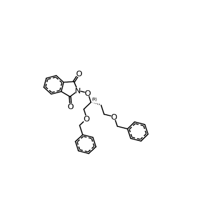 O=C1c2ccccc2C(=O)N1O[C@H](CCOCc1ccccc1)COCc1ccccc1